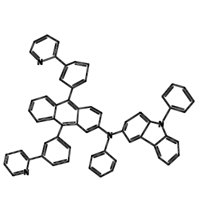 c1ccc(N(c2ccc3c(-c4cccc(-c5ccccn5)c4)c4ccccc4c(-c4cccc(-c5ccccn5)c4)c3c2)c2ccc3c(c2)c2ccccc2n3-c2ccccc2)cc1